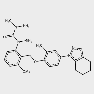 COc1cccc(N(N)C(=O)N(C)N)c1COc1ccc(-n2ncc3c2CCCC3)cc1C